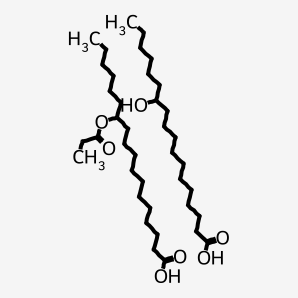 CCCCCCC(CCCCCCCCCCC(=O)O)OC(=O)CC.CCCCCCC(O)CCCCCCCCCCC(=O)O